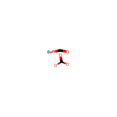 O=C([O-])[O-].O=C=O.[Ba+2]